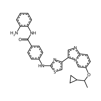 CC(Oc1ccc2ncc(-c3csc(Nc4ccc(C(=O)Nc5ccccc5N)cc4)n3)n2c1)C1CC1